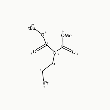 COC(=O)N(CCC(C)C)C(=O)OC(C)(C)C